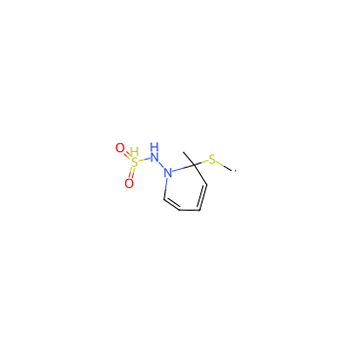 [CH2]SC1(C)C=CC=CN1N[SH](=O)=O